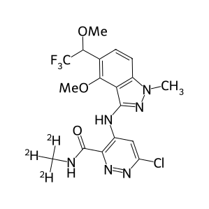 [2H]C([2H])([2H])NC(=O)c1nnc(Cl)cc1Nc1nn(C)c2ccc(C(OC)C(F)(F)F)c(OC)c12